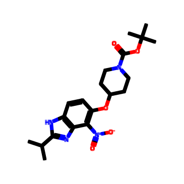 CC(C)c1nc2c([N+](=O)[O-])c(OC3CCN(C(=O)OC(C)(C)C)CC3)ccc2[nH]1